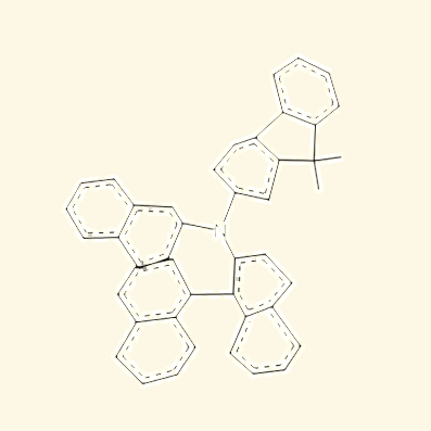 CC1(C)c2ccccc2-c2ccc(N(c3ccc4ccccc4c3)c3ccc4ccccc4c3-c3cccc4ccccc34)cc21